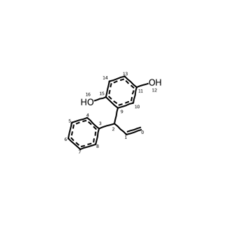 C=CC(c1ccccc1)c1cc(O)ccc1O